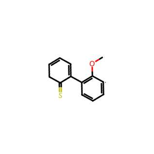 COc1[c]cccc1C1=CC=CCC1=S